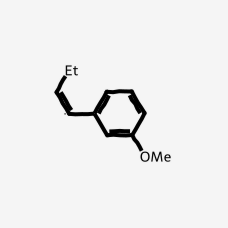 CC/C=[C]\c1cccc(OC)c1